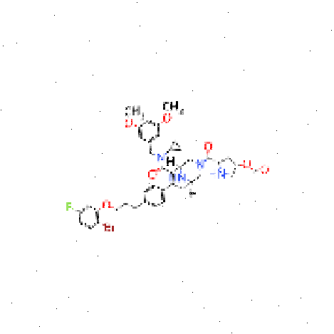 COc1cc(CN(C(=O)C2=C(c3ccc(CCCOc4cc(F)ccc4Br)cc3)C[C@@H]3CN(C(=O)[C@@H]4C[C@@H](OC=O)CN4)C[C@H]2N3)C2CC2)cc(OC)c1